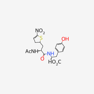 CC(=O)N[C@@H](CC1CC=C([N+](=O)[O-])S1)C(=O)N[C@@H](Cc1ccc(O)cc1)C(=O)O